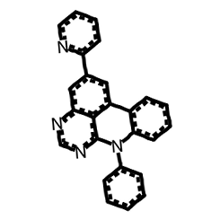 c1ccc(N2c3ccccc3-c3cc(-c4ccccn4)cc4ncnc2c34)cc1